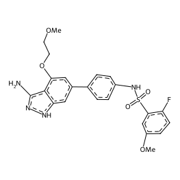 COCCOc1cc(-c2ccc(NS(=O)(=O)c3cc(OC)ccc3F)cc2)cc2[nH]nc(N)c12